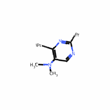 CC(C)c1ncc(N(C)C)c(C(C)C)n1